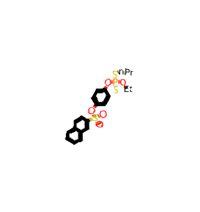 CCCSP(=S)(OCC)Oc1ccc(OS(=O)(=O)c2ccc3ccccc3c2)cc1